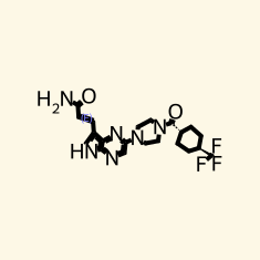 NC(=O)/C=C/c1c[nH]c2ncc(N3CCN(C(=O)[C@H]4CC[C@H](C(F)(F)F)CC4)CC3)nc12